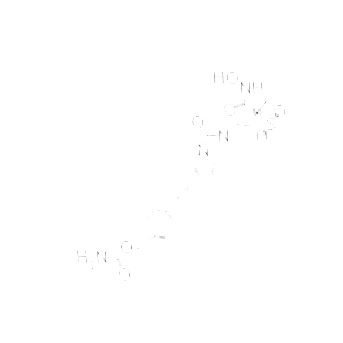 C[C@@](CCN1Cc2cc(C#Cc3ccc(COC(N)=O)cc3)cn2C1=O)(C(=O)NO)S(C)(=O)=O